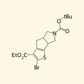 CCOC(=O)c1c(Br)sc2c1CC1CN(C(=O)OC(C)(C)C)CC21